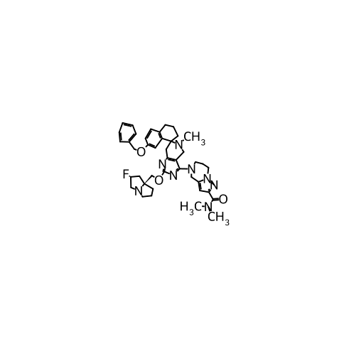 CN(C)C(=O)c1cc2n(n1)CCCN(c1nc(OC[C@@]34CCCN3C[C@H](F)C4)nc3c1CN(C)C1(CCCc4ccc(OCc5ccccc5)cc41)C3)C2